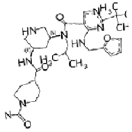 CC(C)CN(C(=O)c1cnc(C(C)(C)C)nc1NCc1ccco1)[C@@H]1CNC[C@H](NC(=O)C2CCN(C(N)=O)CC2)C1